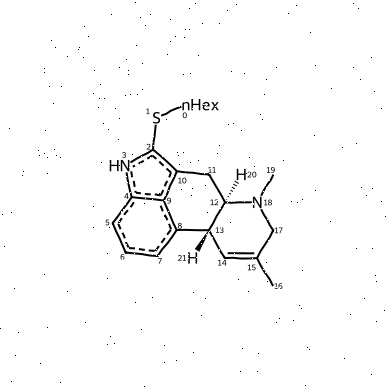 CCCCCCSc1[nH]c2cccc3c2c1C[C@@H]1[C@@H]3C=C(C)CN1C